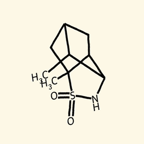 CC1C2CC3C1NS(=O)(=O)C3(C)C2